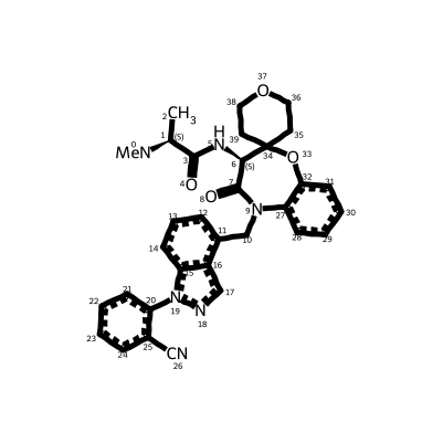 CN[C@@H](C)C(=O)N[C@@H]1C(=O)N(Cc2cccc3c2cnn3-c2ccccc2C#N)c2ccccc2OC12CCOCC2